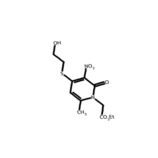 CCOC(=O)Cn1c(C)cc(SCCO)c([N+](=O)[O-])c1=O